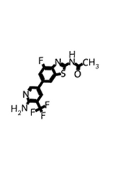 CC(=O)Nc1nc2c(F)cc(-c3cnc(N)c(C(F)(F)F)c3)cc2s1